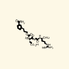 N=C(N)NCCC[C@@H](C=O)NC(=O)CNC(=O)[C@H](CCC(=O)O)NC(=O)OCCCc1cccc(C(N)=O)c1